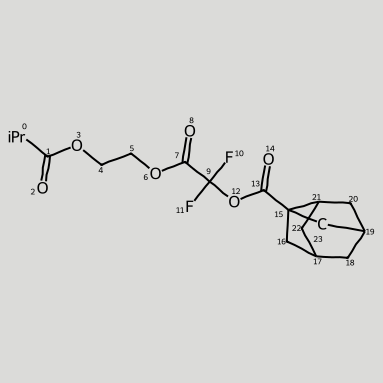 CC(C)C(=O)OCCOC(=O)C(F)(F)OC(=O)C12CC3CC(CC1C3)C2